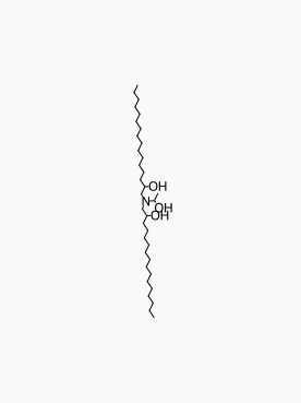 CCCCCCCCCCCCCCC(O)CN(CC(O)CCCCCCCCCCCCCC)C(C)O